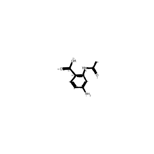 CC(=O)Nc1cc(N)ccc1C(=O)O